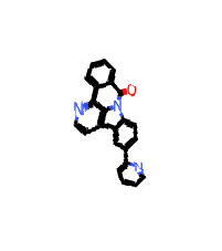 O=c1c2ccccc2c2nccc3c4cc(-c5ccccn5)ccc4n1c32